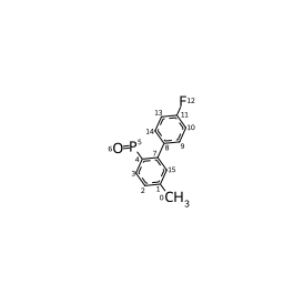 Cc1ccc(P=O)c(-c2ccc(F)cc2)c1